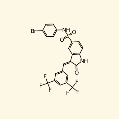 O=C1Nc2ccc(S(=O)(=O)Nc3ccc(Br)cc3)cc2C1=Cc1cc(C(F)(F)F)cc(C(F)(F)F)c1